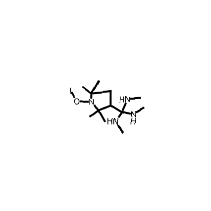 CNC(NC)(NC)C1CC(C)(C)N(OI)C1(C)C